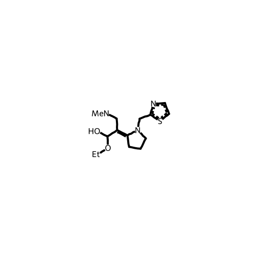 CCOC(O)/C(CNC)=C1\CCCN1Cc1nccs1